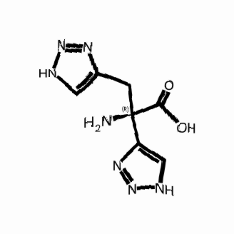 N[C@@](Cc1c[nH]nn1)(C(=O)O)c1c[nH]nn1